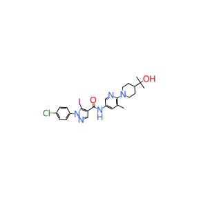 Cc1cc(NC(=O)c2cnn(-c3ccc(Cl)cc3)c2I)cnc1N1CCC(C(C)(C)O)CC1